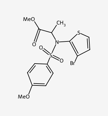 COC(=O)C(C)N(c1sccc1Br)S(=O)(=O)c1ccc(OC)cc1